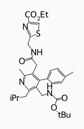 CCOC(=O)c1csc(CNC(=O)Cc2c(C)nc(CC(C)C)c(CNC(=O)OC(C)(C)C)c2-c2ccc(C)cc2)n1